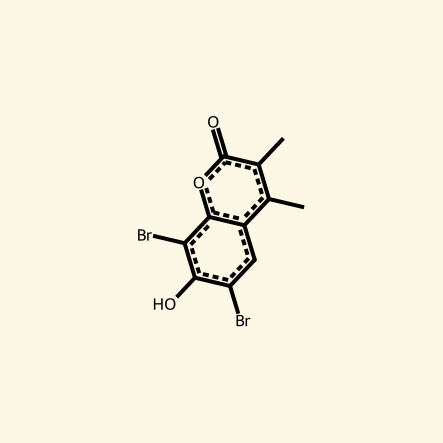 Cc1c(C)c2cc(Br)c(O)c(Br)c2oc1=O